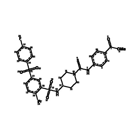 COC(=O)c1ccc(NC(=S)N2CCC(NS(=O)(=O)c3cc(S(=O)(=O)c4ccc(F)cc4)ccc3C(C)C)CC2)cc1